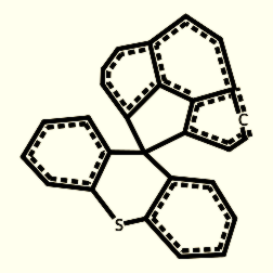 c1ccc2c(c1)Sc1ccccc1C21c2cccc3ccc4cccc1c4c23